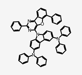 c1ccc(-c2nc(-n3c4ccc(N(c5ccccc5)c5ccccc5)cc4c4cc(N(c5ccccc5)c5ccccc5)ccc43)c3oc4c(-c5ccccc5)cccc4c3n2)cc1